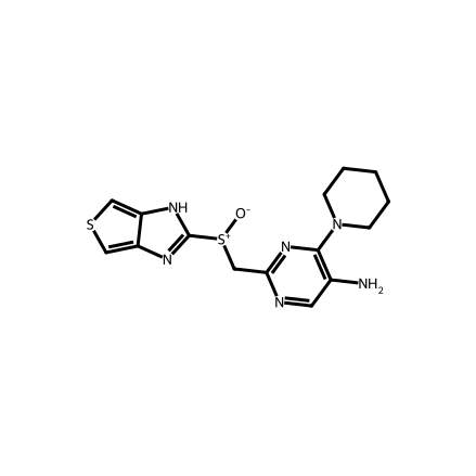 Nc1cnc(C[S+]([O-])c2nc3cscc3[nH]2)nc1N1CCCCC1